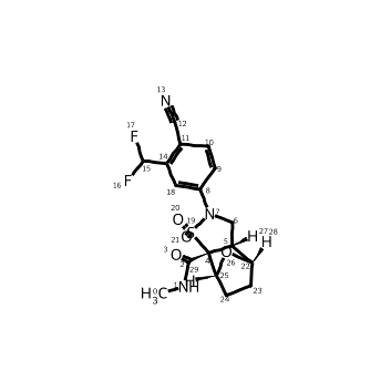 CNC(=O)[C@]12[C@H](CN(c3ccc(C#N)c(C(F)F)c3)S1(=O)=O)[C@@H]1CC[C@H]2O1